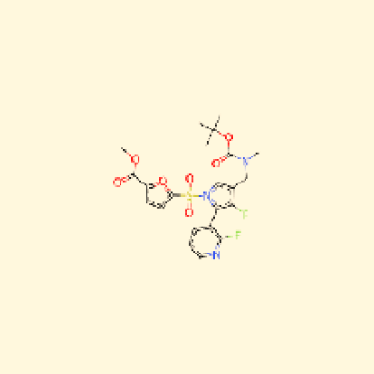 COC(=O)c1ccc(S(=O)(=O)n2cc(CN(C)C(=O)OC(C)(C)C)c(F)c2-c2cccnc2F)o1